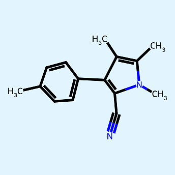 Cc1ccc(-c2c(C)c(C)n(C)c2C#N)cc1